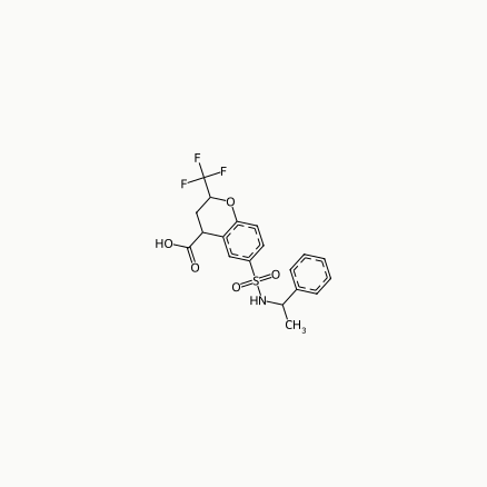 CC(NS(=O)(=O)c1ccc2c(c1)C(C(=O)O)CC(C(F)(F)F)O2)c1ccccc1